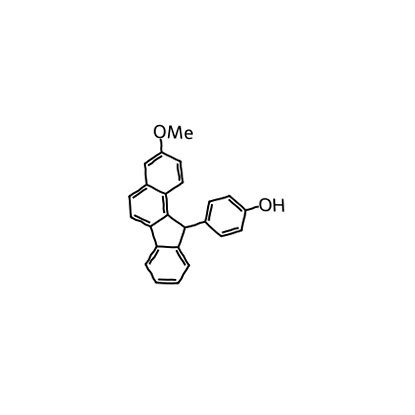 COc1ccc2c3c(ccc2c1)-c1ccccc1C3c1ccc(O)cc1